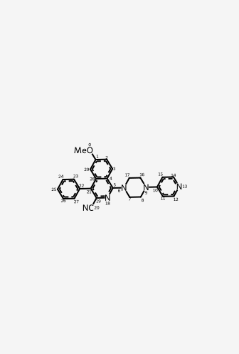 COc1ccc2c(N3CCN(c4ccncc4)CC3)nc(C#N)c(-c3ccccc3)c2c1